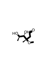 CO[C@@](C)(CC=O)[C@@H](O)[C@@H](C)O